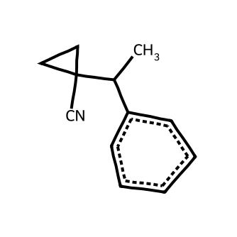 CC(c1ccccc1)C1(C#N)CC1